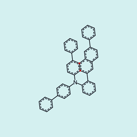 c1ccc(-c2ccc(N(c3ccc(-c4ccccc4)cc3)c3ccccc3-c3ccc4cc(-c5ccccc5)ccc4c3)cc2)cc1